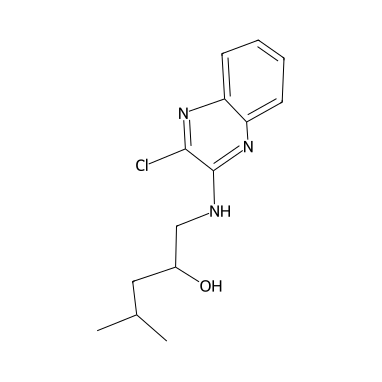 CC(C)CC(O)CNc1nc2ccccc2nc1Cl